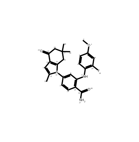 COc1ccc(Nc2cc(-n3c(C)cc4c3CC(C)(C)CC4=O)ccc2C(N)=O)c(F)c1